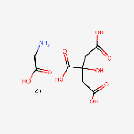 NCC(=O)O.O=C(O)CC(O)(CC(=O)O)C(=O)O.[Zn]